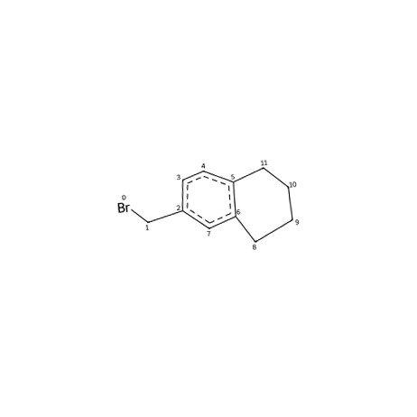 BrCc1ccc2c(c1)CCCC2